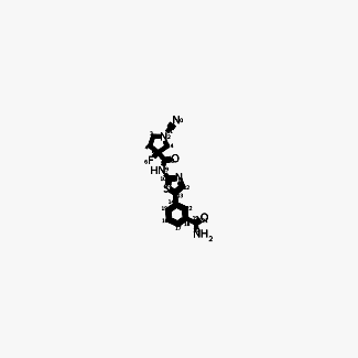 N#CN1CCC(F)(C(=O)Nc2ncc(-c3cccc(C(N)=O)c3)s2)C1